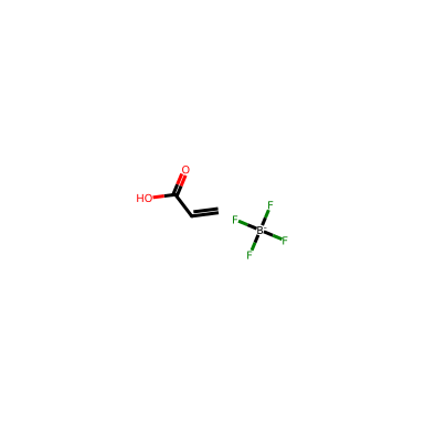 C=CC(=O)O.F[B-](F)(F)F